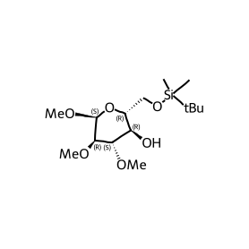 CO[C@H]1O[C@H](CO[Si](C)(C)C(C)(C)C)[C@@H](O)[C@H](OC)[C@H]1OC